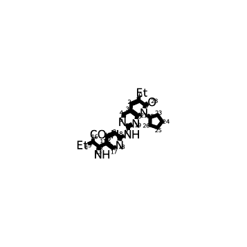 CCc1cc2cnc(Nc3ccc(C(=N)C(CC)C(=O)O)cn3)nc2n(C2CCCC2)c1=O